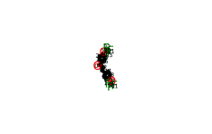 O=C(C=Cc1ccc(OC(F)(F)F)cc1)c1ccc(OC(F)(F)F)cc1